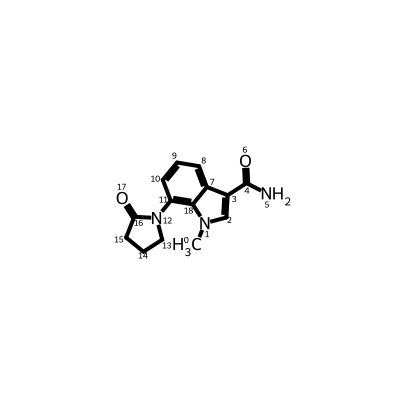 Cn1cc(C(N)=O)c2cccc(N3CCCC3=O)c21